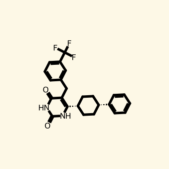 O=c1[nH]c(=O)c(Cc2cccc(C(F)(F)F)c2)c([C@H]2CC[C@@H](c3ccccc3)CC2)[nH]1